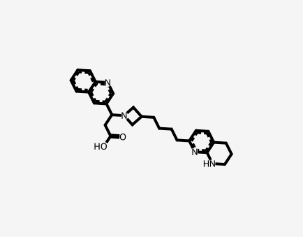 O=C(O)CC(c1cnc2ccccc2c1)N1CC(CCCCc2ccc3c(n2)NCCC3)C1